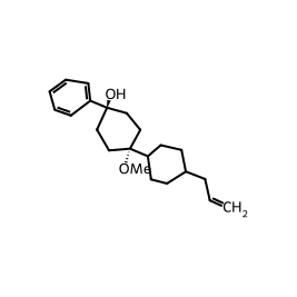 C=CCC1CCC([C@]2(OC)CC[C@@](O)(c3ccccc3)CC2)CC1